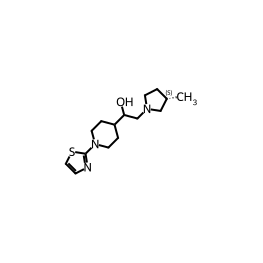 C[C@H]1CCN(CC(O)C2CCN(c3nccs3)CC2)C1